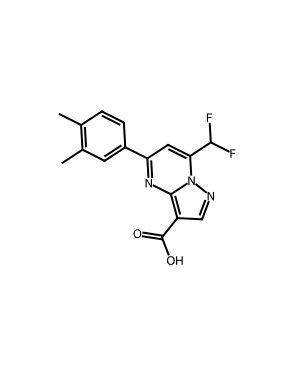 Cc1ccc(-c2cc(C(F)F)n3ncc(C(=O)O)c3n2)cc1C